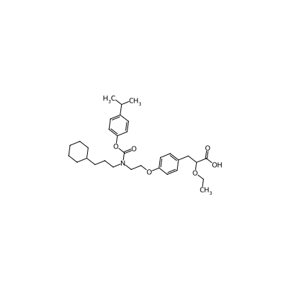 CCOC(Cc1ccc(OCCN(CCCC2CCCCC2)C(=O)Oc2ccc(C(C)C)cc2)cc1)C(=O)O